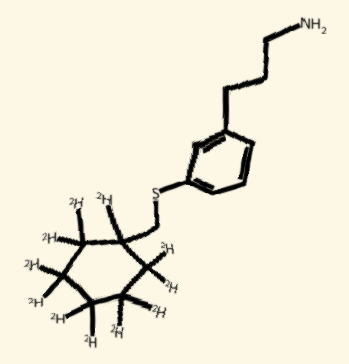 [2H]C1([2H])C([2H])([2H])C([2H])([2H])C([2H])(CSc2cccc(CCCN)c2)C([2H])([2H])C1([2H])[2H]